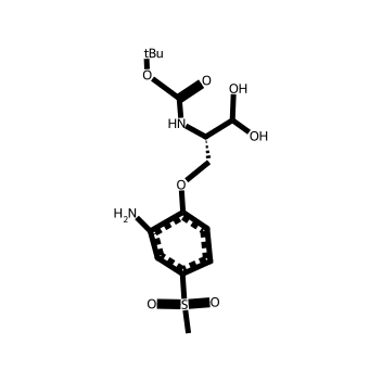 CC(C)(C)OC(=O)N[C@@H](COc1ccc(S(C)(=O)=O)cc1N)C(O)O